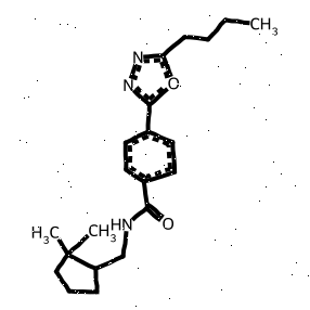 CCCCc1nnc(-c2ccc(C(=O)NCC3CCCC3(C)C)cc2)o1